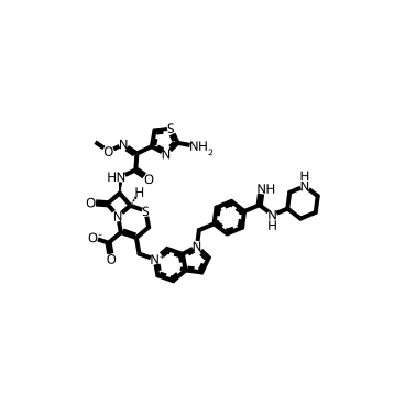 CO/N=C(\C(=O)N[C@@H]1C(=O)N2C(C(=O)[O-])=C(C[n+]3ccc4ccn(Cc5ccc(C(=N)NC6CCCNC6)cc5)c4c3)CS[C@H]12)c1csc(N)n1